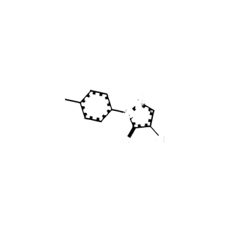 Cc1ccc(-n2[nH]cc(C(C)(C)C)c2=O)cc1